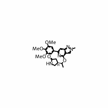 COc1cc(-c2cc3nn(C)cc3c(OC(C)[C@H]3CNC(=O)C3)n2)cc(OC)c1OC